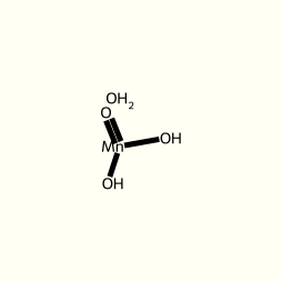 O.[O]=[Mn]([OH])[OH]